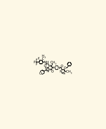 CCc1c(N2CCN(C(=O)c3ncnc(C)c3OCc3ccccc3)CC2)c(=O)n2nc(C3=CCOCC3)nc2n1CC(=O)Nc1ccc(C(F)(F)F)c(F)c1C